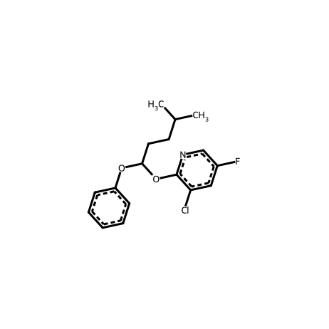 CC(C)CCC(Oc1ccccc1)Oc1ncc(F)cc1Cl